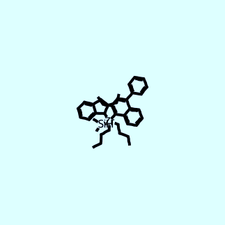 CCC[CH2][Zr]([CH2]CCC)([c]1c(CC)cc(-c2ccccc2)c2ccccc12)([CH]1C(CC)=Cc2ccccc21)[SiH](C)C